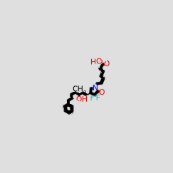 C[C@@H](CCCc1ccccc1)[C@H](O)/C=C/[C@H]1CN(C/C=C\CCCC(=O)O)C(=O)C1(F)F